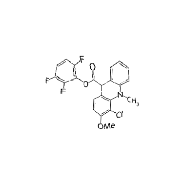 COc1ccc2c(c1Cl)N(C)c1ccccc1C2C(=O)Oc1c(F)ccc(F)c1F